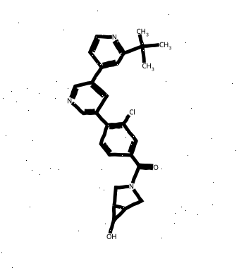 CC(C)(C)c1cc(-c2cncc(-c3ccc(C(=O)N4CC5C(O)C5C4)cc3Cl)c2)ccn1